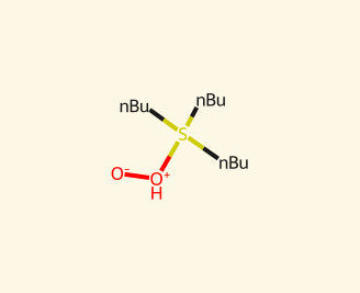 CCCCS(CCCC)(CCCC)[OH+][O-]